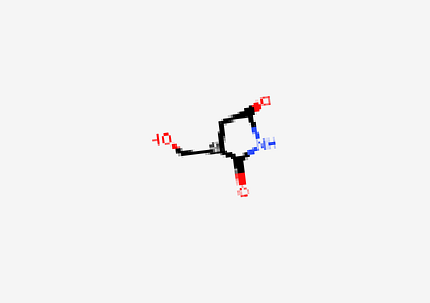 O=C1C[C@H](CO)C(=O)N1